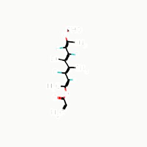 C=CC(=O)O/C(C)=C(F)/C(F)=C(C)/C(CC)=C(F)/C(F)=C(\C)OC=O